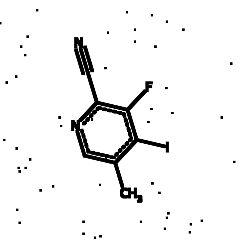 Cc1cnc(C#N)c(F)c1I